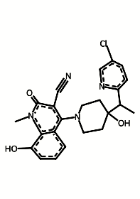 CC(c1ccc(Cl)cn1)C1(O)CCN(c2c(C#N)c(=O)n(C)c3c(O)cccc23)CC1